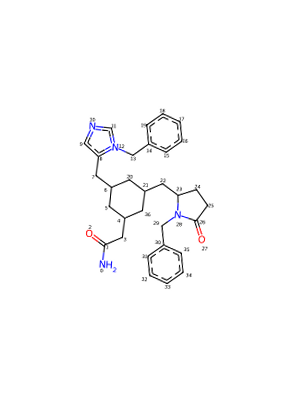 NC(=O)CC1CC(Cc2cncn2Cc2ccccc2)CC(CC2CCC(=O)N2Cc2ccccc2)C1